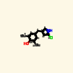 CC(C)(C)c1cc(Cc2c[nH]c(Cl)c2)cc(C(C)(C)C)c1O